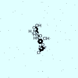 Cl.N[C@H](CNC(=O)Nc1ccc(Oc2ncc(Cl)cc2F)cc1)CC(=O)O